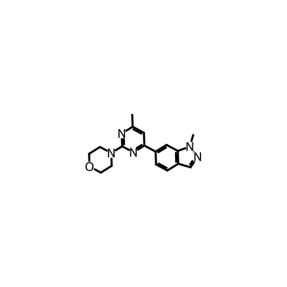 Cc1cc(-c2ccc3cnn(C)c3c2)nc(N2CCOCC2)n1